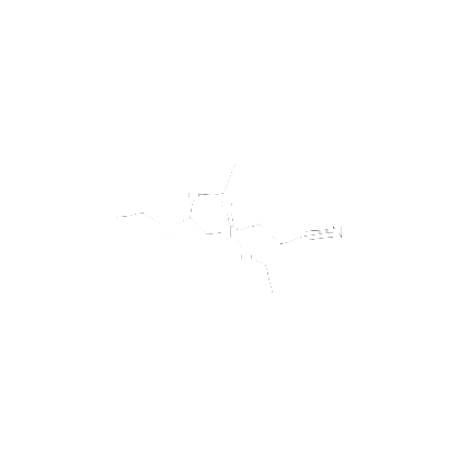 CCOC(CP(=O)(CCC#N)OCC)OCC